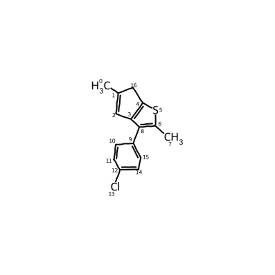 CC1=Cc2c(sc(C)c2-c2ccc(Cl)cc2)C1